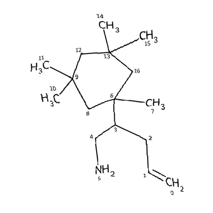 C=CCC(CN)C1(C)CC(C)(C)CC(C)(C)C1